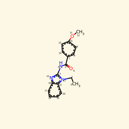 CCn1c(NC(=O)c2ccc(OC)cc2)nc2ccccc21